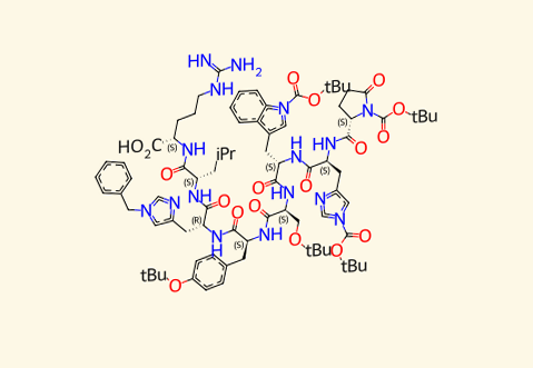 CC(C)C[C@H](NC(=O)[C@@H](Cc1cn(Cc2ccccc2)cn1)NC(=O)[C@H](Cc1ccc(OC(C)(C)C)cc1)NC(=O)[C@H](COC(C)(C)C)NC(=O)[C@H](Cc1cn(C(=O)OC(C)(C)C)c2ccccc12)NC(=O)[C@H](Cc1cn(C(=O)OC(C)(C)C)cn1)NC(=O)[C@@H]1CCC(=O)N1C(=O)OC(C)(C)C)C(=O)N[C@@H](CCCNC(=N)N)C(=O)O